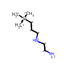 C[Si](C)(C)CCCNCCN